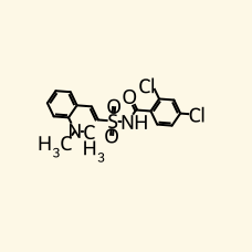 CN(C)c1ccccc1C=CS(=O)(=O)NC(=O)c1ccc(Cl)cc1Cl